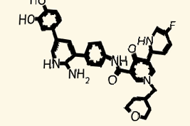 NC1NC=C(c2ccc(O)c(O)c2)C=C1c1ccc(NC(=O)c2cn(CC3CCOCC3)cc(C3C=CC(F)=CN3)c2=O)cc1